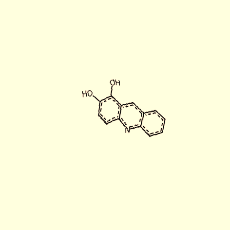 Oc1ccc2nc3ccccc3cc2c1O